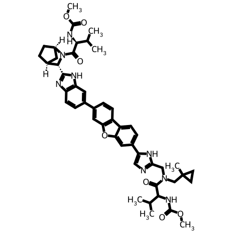 COC(=O)NC(C(=O)N(Cc1ncc(-c2ccc3c(c2)oc2cc(-c4ccc5nc([C@@H]6[C@H]7CC[C@H](C7)N6C(=O)[C@@H](NC(=O)OC)C(C)C)[nH]c5c4)ccc23)[nH]1)CC1(C)CC1)C(C)C